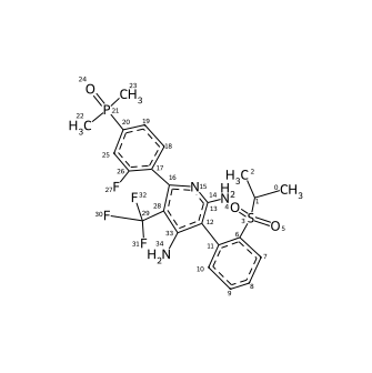 CC(C)S(=O)(=O)c1ccccc1-c1c(N)nc(-c2ccc(P(C)(C)=O)cc2F)c(C(F)(F)F)c1N